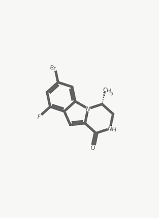 C[C@@H]1CNC(=O)c2cc3c(F)cc(Br)cc3n21